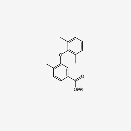 COC(=O)c1ccc(I)c(Oc2c(C)cccc2C)c1